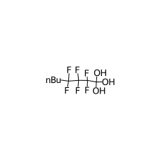 CCCCC(F)(F)C(F)(F)C(F)(F)C(O)(O)O